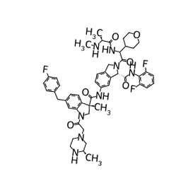 CN[C@@H](C)C(=O)NC(C(=O)N1Cc2ccc(NC(=O)[C@]3(C)CN(C(=O)CN4CCN[C@H](C)C4)c4cc(Cc5ccc(F)cc5)ccc43)cc2[C@H]1C(=O)Nc1c(F)cccc1F)C1CCOCC1